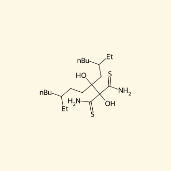 CCCCC(CC)CCC(O)(CC(CC)CCCC)C(O)(C(N)=S)C(N)=S